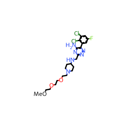 COCCOCCOCCN1CCC(NCc2nnc(-c3cc(F)cc(Cl)c3Cl)c(N)n2)CC1